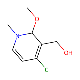 COC1C(CO)=C(Cl)C=CN1C